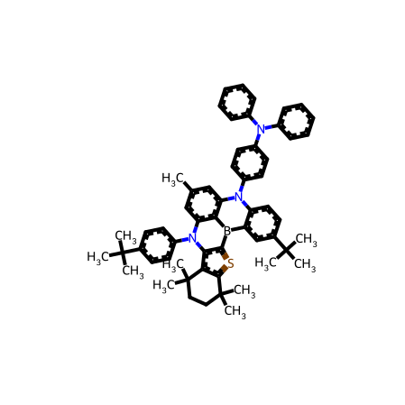 Cc1cc2c3c(c1)N(c1ccc(C(C)(C)C)cc1)c1c(sc4c1C(C)(C)CCC4(C)C)B3c1cc(C(C)(C)C)ccc1N2c1ccc(N(c2ccccc2)c2ccccc2)cc1